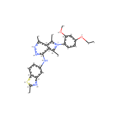 CCOc1ccc(-n2c(C)c3c(C)nnc(Nc4ccc5sc(C)nc5c4)c3c2C)c(OC)c1